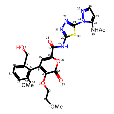 COCCOc1c(-c2c(CO)cccc2OC)cc(C(=O)Nc2nnc(-n3nccc3NC(C)=O)s2)oc1=O